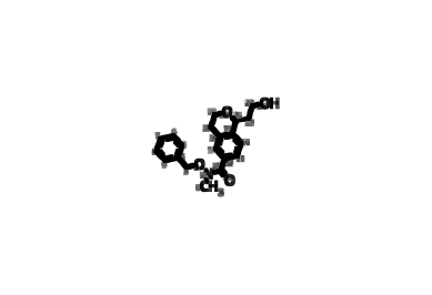 CN(OCc1ccccc1)C(=O)c1ccc2c(c1)CCO[C@H]2CCO